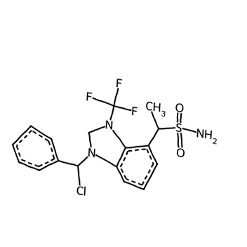 CC(c1cccc2c1N(C(F)(F)F)CN2C(Cl)c1ccccc1)S(N)(=O)=O